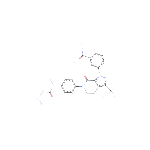 CN(C)CC(=O)N(C)c1ccc(N2CCc3c(C(F)(F)F)nn(-c4cccc(C(N)=O)c4)c3C2=O)cc1